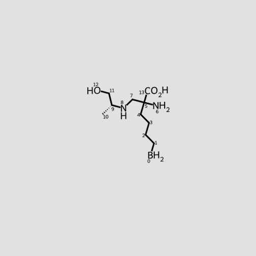 BCCCCC(N)(CN[C@H](C)CO)C(=O)O